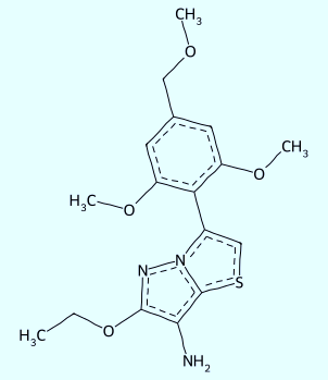 CCOc1nn2c(-c3c(OC)cc(COC)cc3OC)csc2c1N